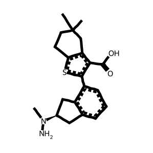 CN(N)[C@@H]1Cc2cccc(-c3sc4c(c3C(=O)O)CC(C)(C)CC4)c2C1